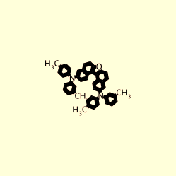 Cc1ccc(N(c2cccc(C)c2)c2ccc3c(ccc4oc5ccc6cc(N(c7ccc(C)cc7)c7cccc(C)c7)ccc6c5c43)c2)cc1